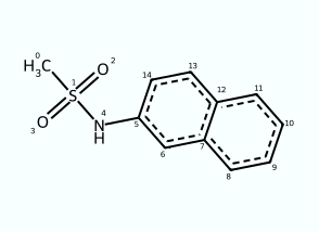 CS(=O)(=O)Nc1[c]c2ccccc2cc1